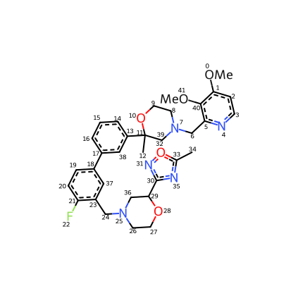 COc1ccnc(CN2CCOC(C)(c3cccc(-c4ccc(F)c(CN5CCOC(c6noc(C)n6)C5)c4)c3)C2)c1OC